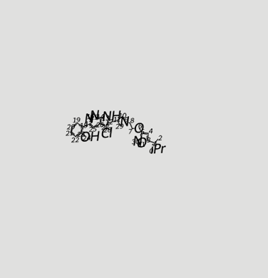 CC(C)C(C)c1cc(OCCN2CC(c3[nH]c4nnc(-c5ccccc5O)cc4c3Cl)C2)no1